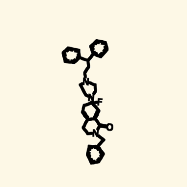 O=C1C2=CC(F)(N3CCN(CCC(c4ccccc4)c4ccccc4)CC3)CC=C2CCN1Cc1ccccc1